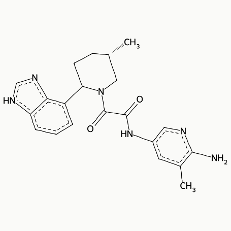 Cc1cc(NC(=O)C(=O)N2C[C@@H](C)CCC2c2cccc3[nH]cnc23)cnc1N